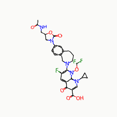 CC(=O)NCC1CN(c2ccc3c(c2)CCCN(C2=C(F)C=C4C(=O)C(C(=O)O)=CN(C5CC5)C4N2OC(F)F)C3)C(=O)O1